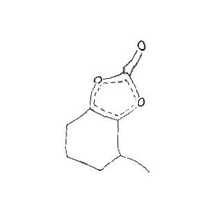 CC1CCCc2oc(=O)oc21